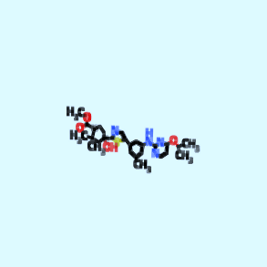 COC(=O)[C@H]1CC[C@](O)(c2ncc(-c3cc(C)cc(Nc4nccc(OC(C)C)n4)c3)s2)CC1(C)C